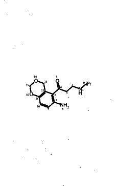 CC(C)NCCC(=O)c1c(N)ccc2c1COCO2